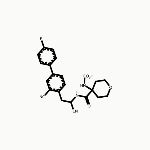 N#Cc1cc(-c2ccc(F)cc2)ccc1CC(C#N)NC(=O)C1(NC(=O)O)CCOCC1